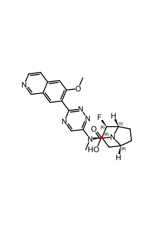 COc1cc2ccncc2cc1-c1ncc(N(C)[C@@H]2C[C@H]3CC[C@@H]([C@@H]2F)N3C(=O)O)nn1